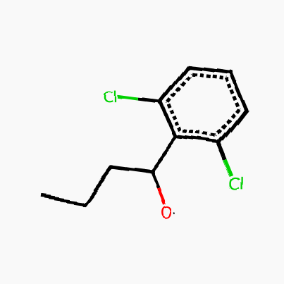 CCCC([O])c1c(Cl)cccc1Cl